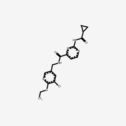 O=C(NCc1cnc(OCC(F)(F)F)c(Cl)c1)c1ccnc(NC(=O)C2CC2)n1